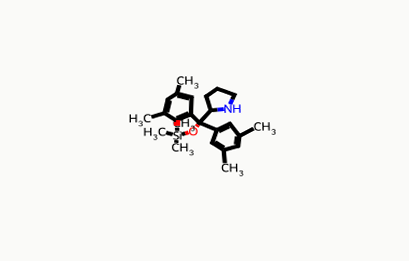 Cc1cc(C)cc(C(O[Si](C)(C)C)(c2cc(C)cc(C)c2)C2CCCN2)c1